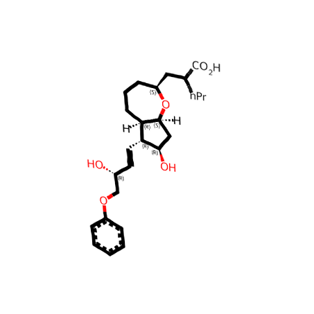 CCCC(C[C@@H]1CCC[C@@H]2[C@@H](C=C[C@@H](O)COc3ccccc3)[C@H](O)C[C@@H]2O1)C(=O)O